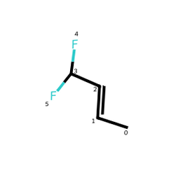 CC=[C]C(F)F